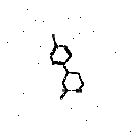 C[C@H]1CN(c2ccc(F)cn2)CCN1